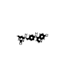 Cc1cc(NCc2ccc(Nc3ccnc4cc(Cl)ccc34)cc2)nc(Cl)n1